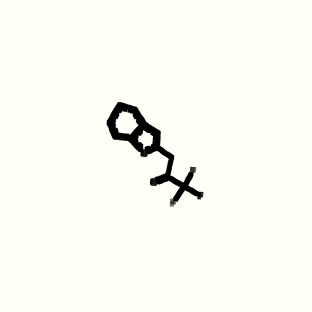 O=C(Cc1cc2ccccc2o1)C(F)(F)F